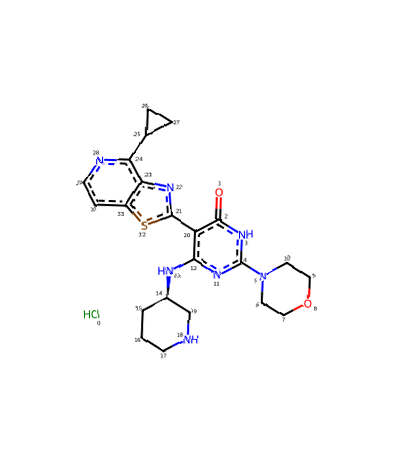 Cl.O=c1[nH]c(N2CCOCC2)nc(N[C@@H]2CCCNC2)c1-c1nc2c(C3CC3)nccc2s1